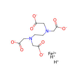 O=C([O-])CN(CCN(CC(=O)[O-])CC(=O)[O-])CC(=O)[O-].[Fe+2].[H+].[H+]